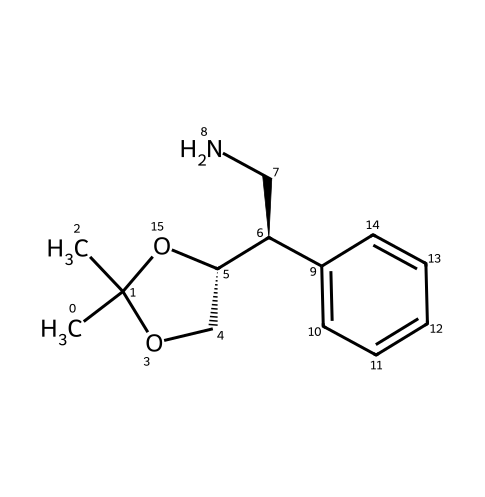 CC1(C)OC[C@@H]([C@@H](CN)c2ccccc2)O1